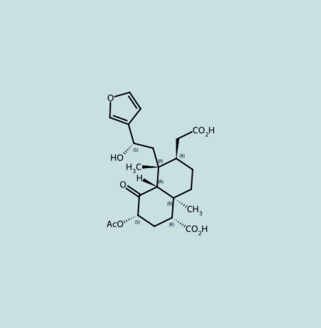 CC(=O)O[C@H]1C[C@@H](C(=O)O)[C@]2(C)CC[C@H](CC(=O)O)[C@@](C)(C[C@H](O)c3ccoc3)[C@H]2C1=O